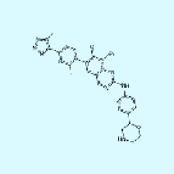 Cc1nc(-c2nnnn2C)ccc1-c1cc2cnc(Nc3ccc(C4CNCCO4)cc3)nc2n(C(C)C)c1=O